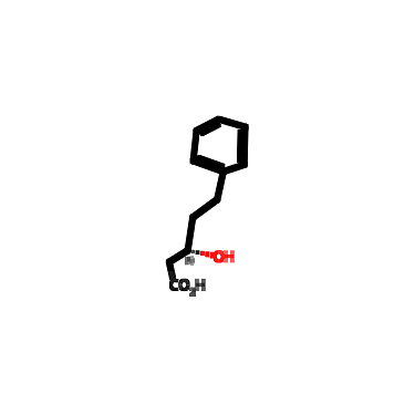 O=C(O)C[C@@H](O)CCc1ccccc1